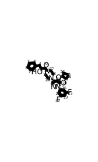 O=C(C(O)Cc1ccccc1)N1CCN(c2cnn(-c3cc(F)cc(F)c3)c(=O)c2OC2CCCC2)CC1